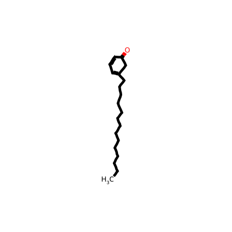 CCCCCCCCCCCCCCC1=CC=[C]C(=O)C1